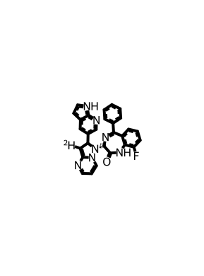 [2H]C1=C2N=CC=CN2N([C@@H]2N=C(c3ccccc3)c3cccc(F)c3NC2=O)C1c1cnc2[nH]ccc2c1